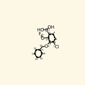 OB(O)c1ccc(Cl)c(OCc2ccccc2)c1OF